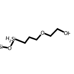 OCCOCCC[SiH2]O[SiH3]